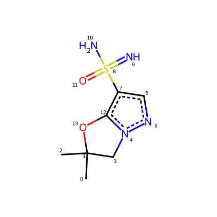 CC1(C)Cn2ncc(S(=N)(N)=O)c2O1